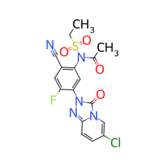 CCS(=O)(=O)N(C(C)=O)c1cc(-n2nc3ccc(Cl)cn3c2=O)c(F)cc1C#N